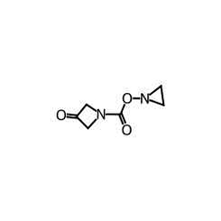 O=C1CN(C(=O)ON2CC2)C1